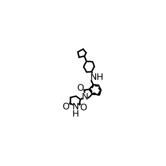 O=C1CCC(N2Cc3cccc(CNC4CCC(C5CCCC5)CC4)c3C2=O)C(=O)N1